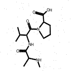 CNC(C)C(=O)NC(C(=O)N1CCCC1C(=O)O)C(C)C